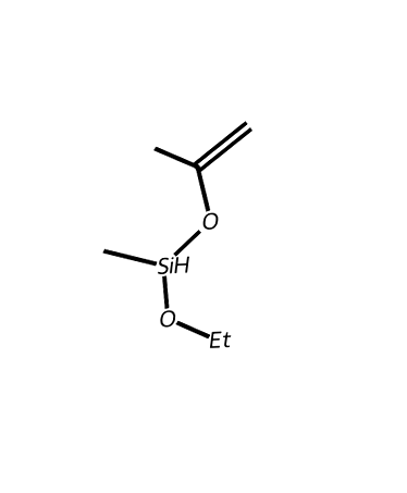 C=C(C)O[SiH](C)OCC